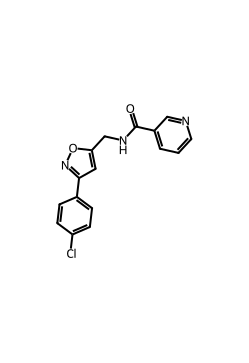 O=C(NCc1cc(-c2ccc(Cl)cc2)no1)c1cccnc1